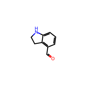 O=Cc1cccc2c1CCN2